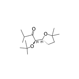 CC(C)C(=O)[C@H](OC(C)(C)C)[C@H]1CCC(C)(C)O1